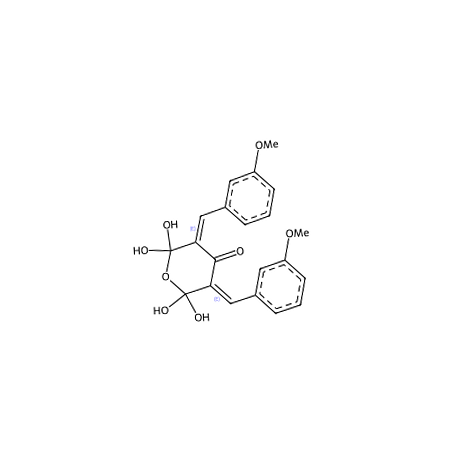 COc1cccc(/C=C2\C(=O)/C(=C\c3cccc(OC)c3)C(O)(O)OC2(O)O)c1